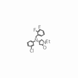 CCN1C[C@@H](N(Cc2cccc(F)c2F)c2cccc(Cl)c2)CC1=O